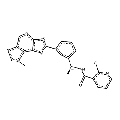 C[C@H](NC(=O)c1cccnc1F)c1cccc(-c2nc3c(ncc4ncn(C)c43)s2)c1